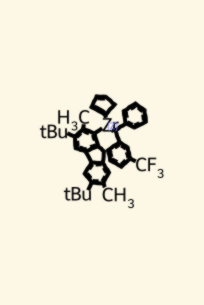 Cc1cc2c(cc1C(C)(C)C)-c1cc(C(C)(C)C)c(C)[c](/[Zr]([C]3=CC=CC3)=[C](/c3ccccc3)c3cccc(C(F)(F)F)c3)c1C2